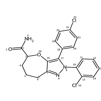 NC(=O)C1CC[C]c2nn(-c3ccccc3Cl)c(-c3ccc(Cl)cc3)c2O1